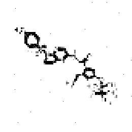 CC[C@@H]1C[C@H](O[Si](C)(C)C(C)(C)C)C[C@@H]1C(=O)NNc1cnc2c(ccn2S(=O)(=O)c2ccc(C)cc2)n1